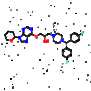 OC(COc1ncnc2c1ncn2C1CCCCO1)CN1CCN(C(c2ccc(F)cc2)c2ccc(F)cc2)CC1